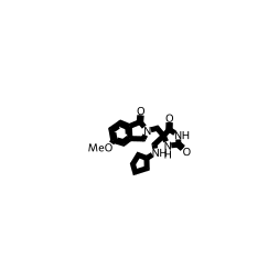 COc1ccc2c(c1)CN(CC1(CNC3CCCC3)NC(=O)NC1=O)C2=O